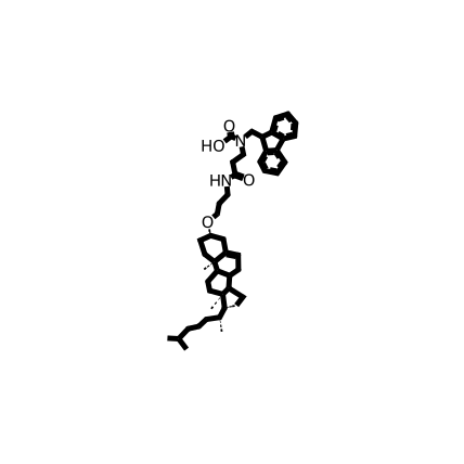 CC(C)CCC[C@@H](C)[C@H]1CCC2C3CC=C4C[C@@H](OCCCNC(=O)CCN(CC5c6ccccc6-c6ccccc65)C(=O)O)CC[C@]4(C)C3CC[C@@]21C